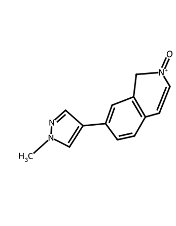 Cn1cc(-c2ccc3c(c2)C[N+](=O)C=C3)cn1